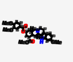 COC(=O)[C@@H]1C[C@H](OC(=O)c2ccc(OC)c(OC)c2)C[C@@H]2CN3CCc4c([nH]c5cc(OC)ccc45)[C@H]3CC21